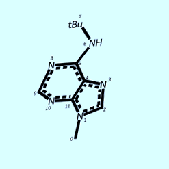 Cn1cnc2c(NC(C)(C)C)ncnc21